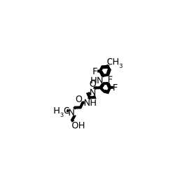 Cc1ccc(Nc2c(C(=O)N3CC(NC(=O)CCN(C)CCO)C3)ccc(F)c2F)c(F)c1